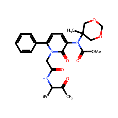 COC(=O)N(c1ccc(-c2ccccc2)n(CC(=O)NC(C(=O)C(F)(F)F)C(C)C)c1=O)C1(C)COCOC1